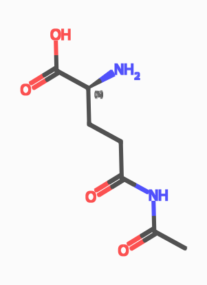 CC(=O)NC(=O)CC[C@H](N)C(=O)O